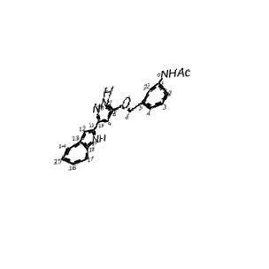 CC(=O)Nc1cccc(COc2cc(-c3cc4ccccc4[nH]3)n[nH]2)c1